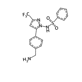 NCc1ccc(-c2cc(C(F)(F)F)nn2NS(=O)(=O)c2ccccc2)cc1